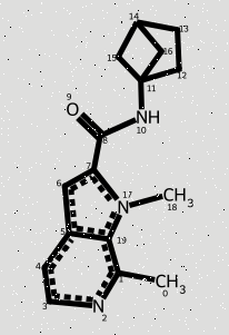 Cc1nccc2cc(C(=O)NC34CCC(C3)C4)n(C)c12